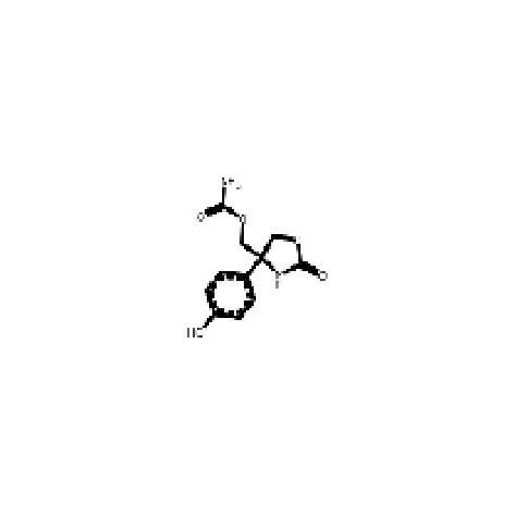 NC(=O)OCC1(c2ccc(O)cc2)COC(=O)N1